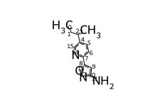 CCC(C)c1ccc(-c2cc(N)no2)nc1